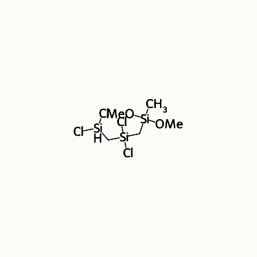 CO[Si](C)(C[Si](Cl)(Cl)C[SiH](Cl)Cl)OC